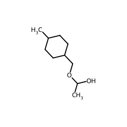 CC1CCC(COC(C)O)CC1